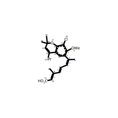 COc1c(\C(C)=C/C=C/C(C)=C/C(=O)O)cc2c(c1Cl)OC(C)(C)C=C2C(C)C